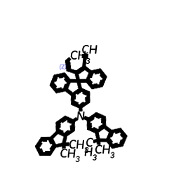 C#CC1=C(/C=C\C)C2(c3ccccc31)c1ccccc1-c1cc(N(c3ccc4c(c3)C(C)(C)c3ccccc3-4)c3ccc4c(c3)C(C)(C)c3ccccc3-4)ccc12